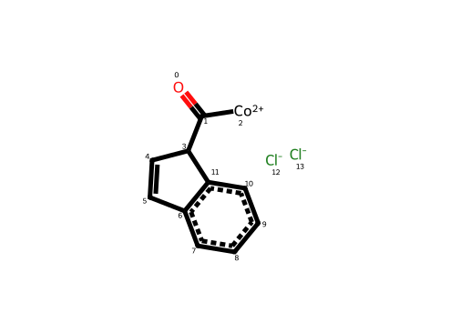 O=[C]([Co+2])C1C=Cc2ccccc21.[Cl-].[Cl-]